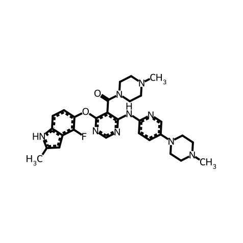 Cc1cc2c(F)c(Oc3ncnc(Nc4ccc(N5CCN(C)CC5)cn4)c3C(=O)N3CCN(C)CC3)ccc2[nH]1